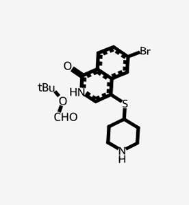 CC(C)(C)OC=O.O=c1[nH]cc(SC2CCNCC2)c2cc(Br)ccc12